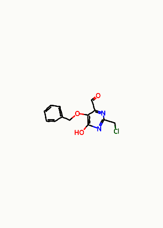 O=Cc1nc(CCl)nc(O)c1OCc1ccccc1